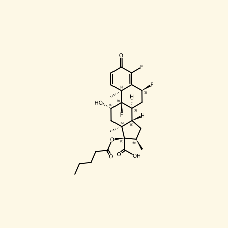 CCCCC(=O)O[C@]1(C(=O)O)[C@H](C)C[C@H]2[C@@H]3C[C@H](F)C4=C(F)C(=O)C=C[C@]4(C)[C@@]3(F)[C@@H](O)C[C@@]21C